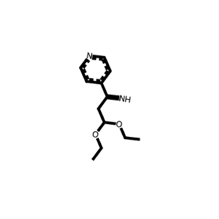 CCOC(CC(=N)c1ccncc1)OCC